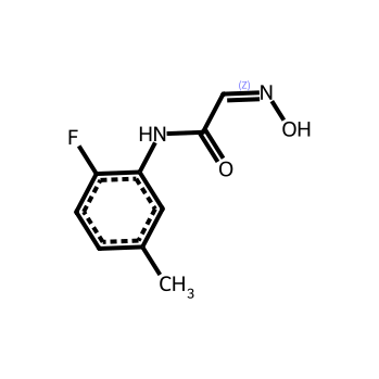 Cc1ccc(F)c(NC(=O)/C=N\O)c1